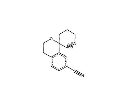 N#Cc1ccc2c(c1)C1(CCCn3cncc31)OCC2